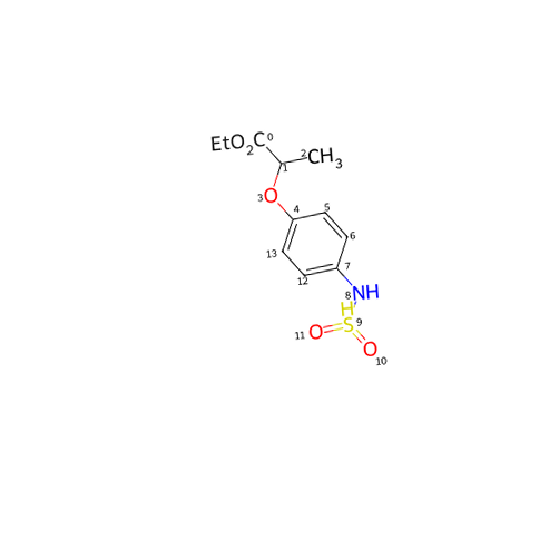 CCOC(=O)C(C)Oc1ccc(N[SH](=O)=O)cc1